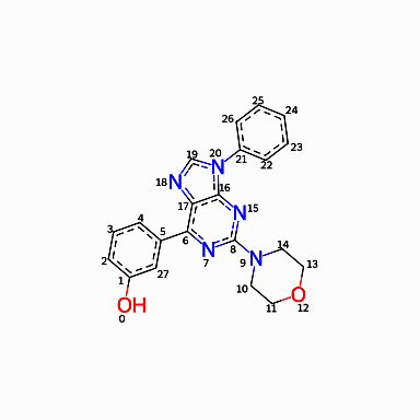 Oc1cccc(-c2nc(N3CCOCC3)nc3c2ncn3-c2ccccc2)c1